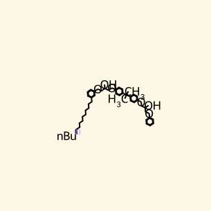 CCCC/C=C/CCCCCCCCCc1cccc(OCC(O)COc2ccc(C(C)(C)c3ccc(OCC(O)COc4ccccc4)cc3)cc2)c1